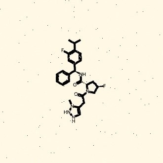 CC(C)c1ccc([C@@H](NC(=O)[C@@H]2C[C@@H](F)CN2C(=O)CC2=CNNN2C)c2ccccc2)cc1F